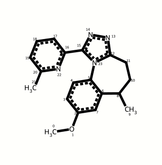 COc1ccc2c(c1)C(C)CCc1nnc(-c3cccc(C)n3)n1-2